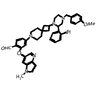 COc1ccc(CN2CCN(C3CC4(CCN(c5ccc(C=O)c(Oc6cnc7ccn(C)c7c6)c5)CC4)C3)C(c3ccccc3C(C)C)C2)cc1